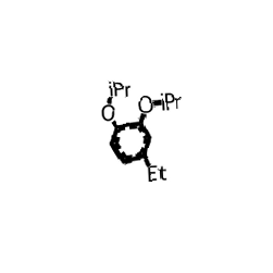 CCc1ccc(OC(C)C)c(OC(C)C)c1